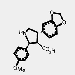 COc1ccc([C@H]2NC[C@H](c3ccc4c(c3)OCO4)[C@H]2C(=O)O)cc1